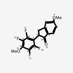 COc1ccc2c(c1)CC(c1c(F)c(F)c(OC)c(F)c1F)C2=O